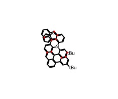 CC(C)(C)c1cc(-c2cccc3cccc(-c4ccccc4N(c4ccccc4-c4cccc5ccccc45)c4cccc5sc6ccccc6c45)c23)cc(C(C)(C)C)c1